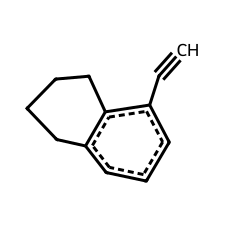 C#Cc1cccc2c1CCCC2